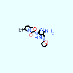 CCC1CCC(C)N(C(=O)C(=O)Nc2cnc(N)c3cn(C4CCCCO4)nc23)C1